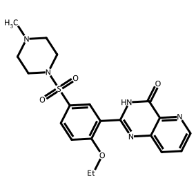 CCOc1ccc(S(=O)(=O)N2CCN(C)CC2)cc1-c1nc2cccnc2c(=O)[nH]1